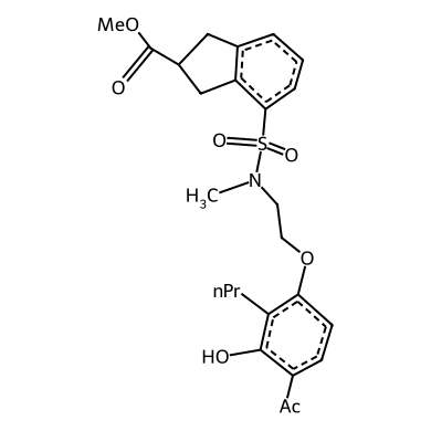 CCCc1c(OCCN(C)S(=O)(=O)c2cccc3c2CC(C(=O)OC)C3)ccc(C(C)=O)c1O